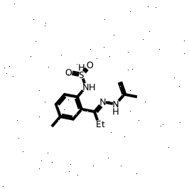 C=C(C)N/N=C(\CC)c1cc(C)ccc1N[SH](=O)=O